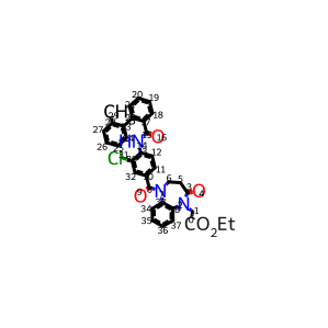 CCOC(=O)CN1C(=O)CCN(C(=O)c2ccc(NC(=O)c3ccccc3-c3ccccc3C)c(Cl)c2)c2ccccc21